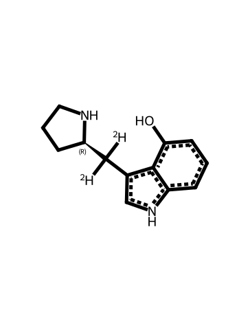 [2H]C([2H])(c1c[nH]c2cccc(O)c12)[C@H]1CCCN1